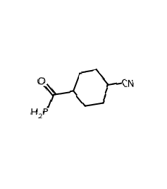 N#CC1CCC(C(=O)P)CC1